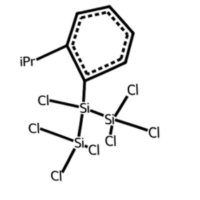 CC(C)c1ccccc1[Si](Cl)([Si](Cl)(Cl)Cl)[Si](Cl)(Cl)Cl